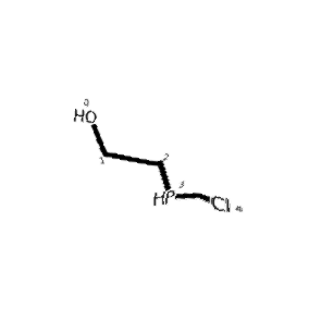 OCCPCl